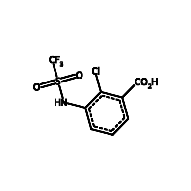 O=C(O)c1cccc(NS(=O)(=O)C(F)(F)F)c1Cl